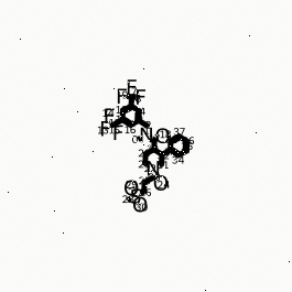 CN(Cc1cc(C(F)(F)F)cc(C(F)(F)F)c1)C(=O)C1CCN(C(=O)CCS(C)(=O)=O)CC1c1ccccc1